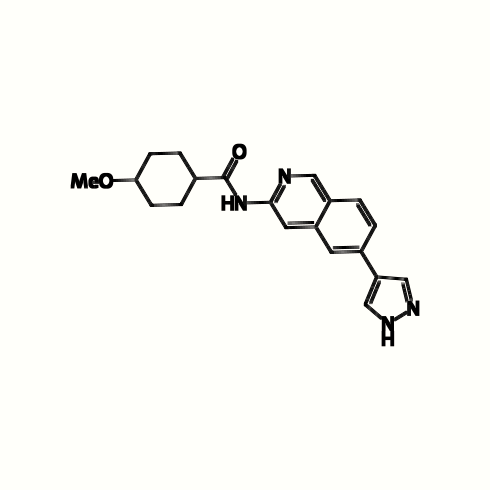 COC1CCC(C(=O)Nc2cc3cc(-c4cn[nH]c4)ccc3cn2)CC1